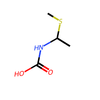 CSC(C)NC(=O)O